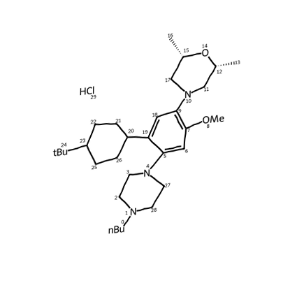 CCCCN1CCN(c2cc(OC)c(N3C[C@@H](C)O[C@@H](C)C3)cc2C2CCC(C(C)(C)C)CC2)CC1.Cl